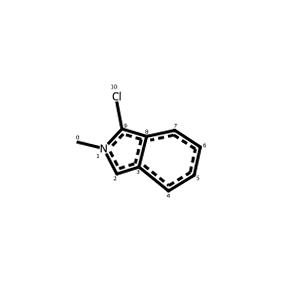 Cn1cc2ccccc2c1Cl